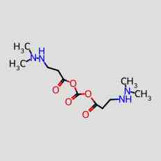 CN(C)NCCC(=O)OC(=O)OC(=O)CCNN(C)C